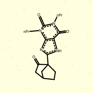 CCCn1c(=O)c2[nH]c(C34CCC(CC3=O)C4)nc2n(CCC)c1=O